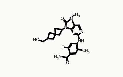 Cc1cc(C(N)=O)c(F)cc1Nc1ncc2c(n1)n(C1CC3(CC(CO)C3)C1)c(=O)n2C